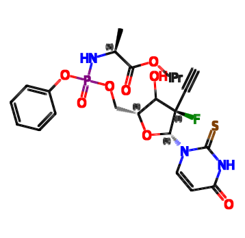 C#C[C@@]1(F)C(O)[C@@H](COP(=O)(N[C@@H](C)C(=O)OC(C)C)Oc2ccccc2)O[C@H]1n1ccc(=O)[nH]c1=S